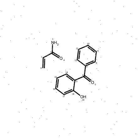 C=CC(N)=O.O=C(c1ccccc1)c1ccccc1O